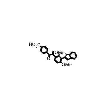 C=C(C(=O)c1ccc(C(=O)O)cc1)c1ccc(OC)c(-c2cc3ccccc3s2)c1OC